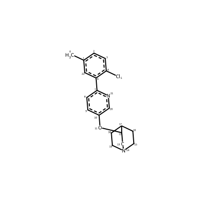 Cc1ccc(Cl)c(-c2ccc(OC3CN4CCC3CC4)cn2)c1